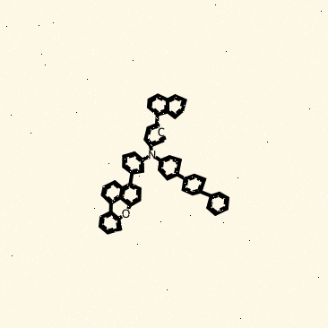 c1ccc(-c2ccc(-c3ccc(N(c4ccc(-c5cccc6ccccc56)cc4)c4cccc(-c5ccc6c7c(cccc57)-c5ccccc5O6)c4)cc3)cc2)cc1